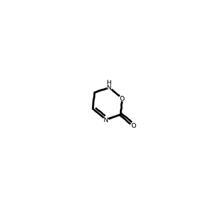 O=C1N=CCNO1